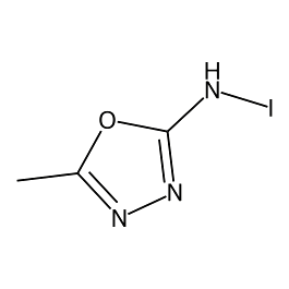 Cc1nnc(NI)o1